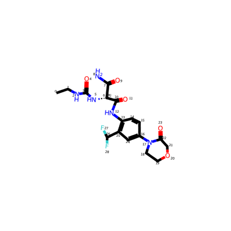 CCNC(=O)N[C@H](C(N)=O)C(=O)Nc1ccc(N2CCOCC2=O)cc1C(F)F